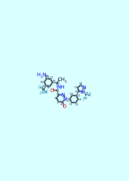 C[C@@H](NC(=O)c1ccc(=O)n(-c2cccc(-c3ccnn3C(F)F)c2)n1)c1cc(N)cc(C(F)(F)F)c1